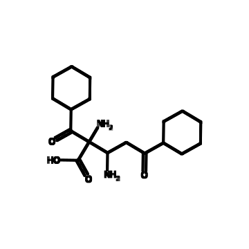 NC(CC(=O)C1CCCCC1)C(N)(C(=O)O)C(=O)C1CCCCC1